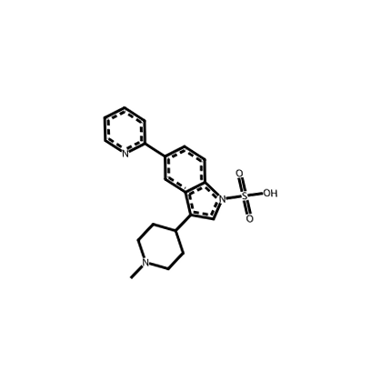 CN1CCC(c2cn(S(=O)(=O)O)c3ccc(-c4ccccn4)cc23)CC1